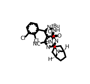 CC(C)(C)OC(=O)N[C@H]1C[C@H]2CC[C@@H](C1)N2c1nc(C#N)c2c(-c3cccc(Cl)c3Cl)n[nH]c2n1